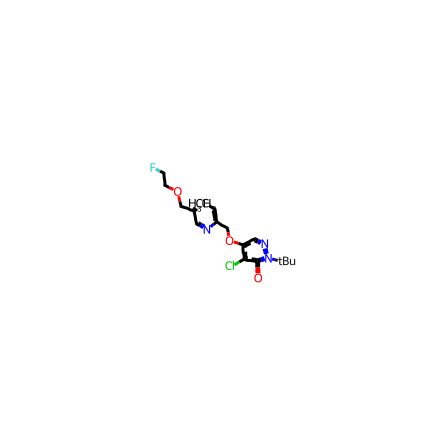 C=C(/C=N\C(=C/C)COc1cnn(C(C)(C)C)c(=O)c1Cl)COCCF